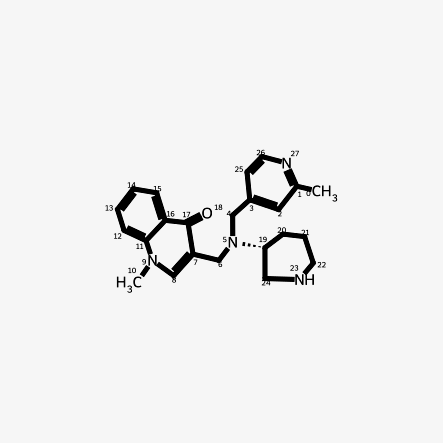 Cc1cc(CN(Cc2cn(C)c3ccccc3c2=O)[C@@H]2CCCNC2)ccn1